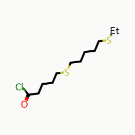 CCSCCCCCSCCCCC(=O)Cl